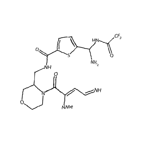 CN/C(=C\C=N)C(=O)N1CCOCC1CNC(=O)c1ccc(C(N)NC(=O)C(F)(F)F)s1